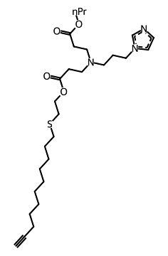 C#CCCCCCCCCCSCCOC(=O)CCN(CCCn1ccnc1)CCC(=O)OCCC